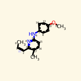 C/C=C\c1nc(Nc2ccc(OC)cc2)ccc1C